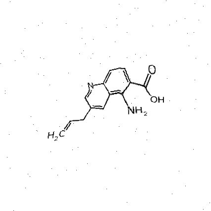 C=CCc1cnc2ccc(C(=O)O)c(N)c2c1